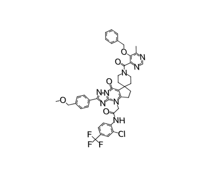 COCc1ccc(-c2nc3n(CC(=O)Nc4ccc(C(F)(F)F)cc4Cl)c4c(c(=O)n3n2)C2(CC4)CCN(C(=O)c3ncnc(C)c3OCc3ccccc3)CC2)cc1